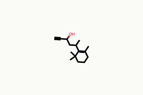 C#CC(O)CC(C)C1=C(C)CCCC1(C)C